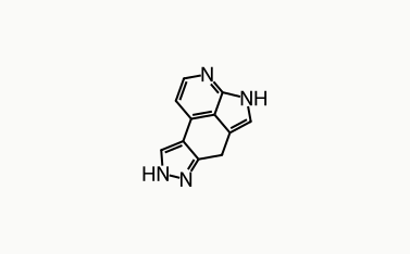 c1cc2c3c(c[nH]c3n1)Cc1n[nH]cc1-2